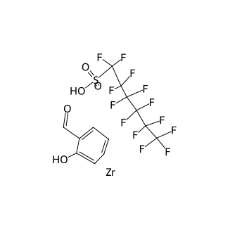 O=Cc1ccccc1O.O=S(=O)(O)C(F)(F)C(F)(F)C(F)(F)C(F)(F)C(F)(F)C(F)(F)F.[Zr]